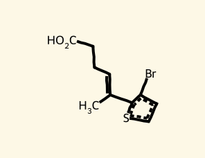 C/C(=C\CCC(=O)O)c1sccc1Br